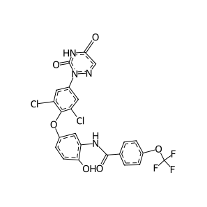 O=C(Nc1cc(Oc2c(Cl)cc(-n3ncc(=O)[nH]c3=O)cc2Cl)ccc1O)c1ccc(OC(F)(F)F)cc1